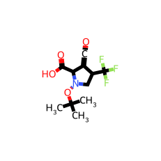 CC(C)(C)ON1CC(C(F)(F)F)C(=C=O)C1C(=O)O